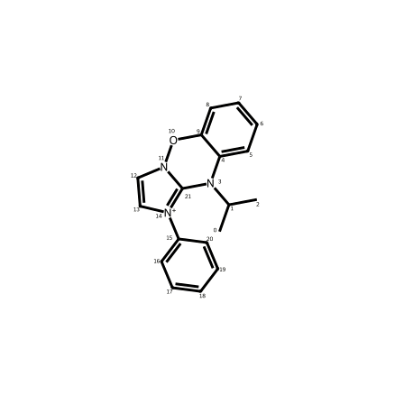 CC(C)N1c2ccccc2On2cc[n+](-c3ccccc3)c21